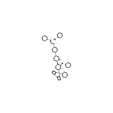 c1ccc(-c2cc(-c3ccc(-c4ccc5c(c4)nc(-c4ccccc4)c4c6c(ccc45)C4(c5ccccc5S6)c5ccccc5-c5ccccc54)cc3)nc(-c3ccccc3)n2)cc1